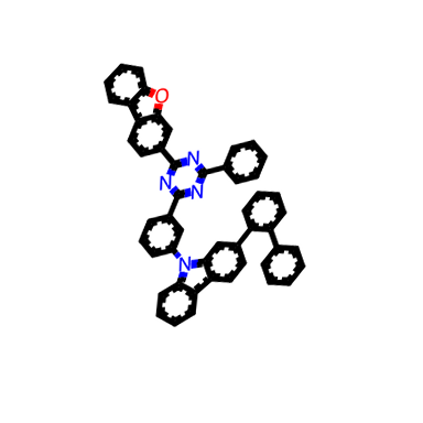 c1ccc(-c2nc(-c3cccc(-n4c5ccccc5c5ccc(-c6ccccc6-c6ccccc6)cc54)c3)nc(-c3ccc4c(c3)oc3ccccc34)n2)cc1